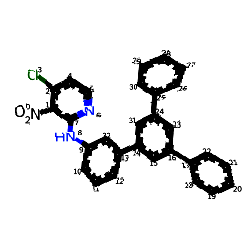 O=[N+]([O-])c1c(Cl)ccnc1Nc1cccc(-c2cc(-c3ccccc3)cc(-c3ccccc3)c2)c1